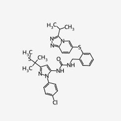 CSC(C)(C)c1cc(NC(=O)NCc2ccccc2Sc2ccc3nnc(C(C)C)n3c2)n(-c2ccc(Cl)cc2)n1